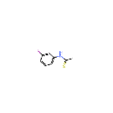 CC(=S)Nc1cccc(I)c1